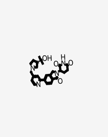 CC(C)(O)[C@@H]1CCN(Cc2ccnc(-c3ccc4c(c3)CN(C3CCC(=O)NC3=O)C4=O)c2)C1